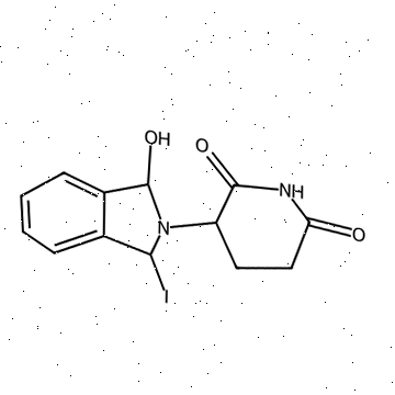 O=C1CCC(N2C(O)c3ccccc3C2I)C(=O)N1